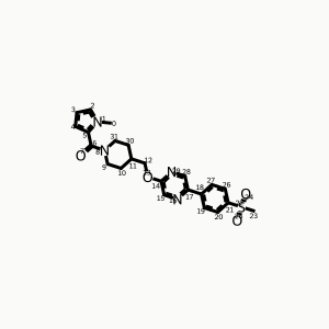 Cn1cccc1C(=O)N1CCC(COc2cnc(-c3ccc(S(C)(=O)=O)cc3)cn2)CC1